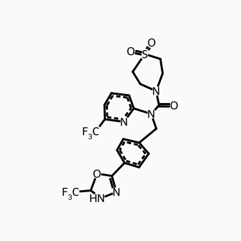 O=C(N1CCS(=O)(=O)CC1)N(Cc1ccc(C2=NNC(C(F)(F)F)O2)cc1)c1cccc(C(F)(F)F)n1